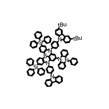 CC(C)(C)c1ccc2c(c1)c1cc(C(C)(C)C)ccc1n2-c1ccc(N2c3cc([Si](c4ccccc4)(c4ccccc4)c4ccccc4)ccc3B3c4ccc([Si](c5ccccc5)(c5ccccc5)c5ccccc5)cc4N(c4ccc(-n5c6ccccc6c6ccccc65)cc4)c4cc(N5c6ccccc6N(c6ccccc6)c6ccccc65)cc2c43)cc1